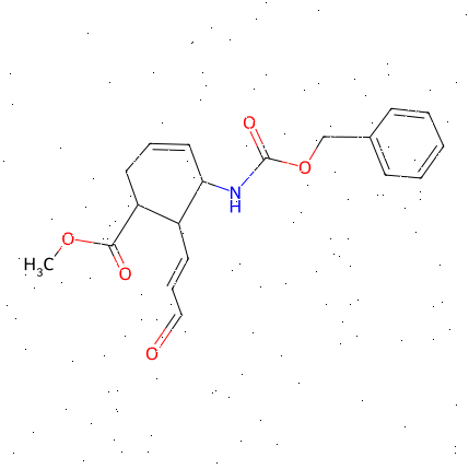 COC(=O)C1CC=CC(NC(=O)OCc2ccccc2)C1/C=C/C=O